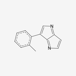 Cc1ccccc1C1=CN=C2C=CN=C12